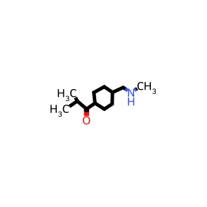 CNCC1CCC(C(=O)C(C)C)CC1